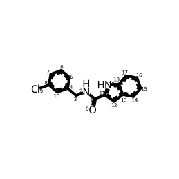 O=C(NCc1cccc(Cl)c1)c1cc2ccccc2[nH]1